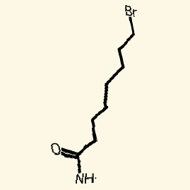 [NH]C(=O)CCCCCCCBr